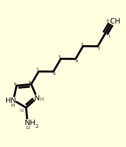 C#CCCCCCCc1c[nH]c(N)n1